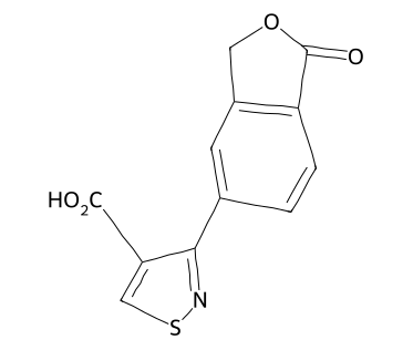 O=C1OCc2cc(-c3nscc3C(=O)O)ccc21